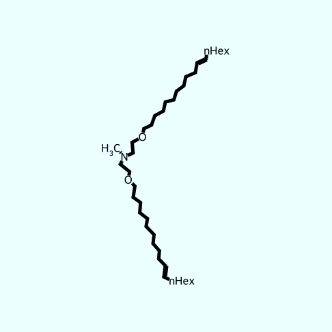 CCCCCCC=CCCCCCCCCCCOCCN(C)CCOCCCCCCCCCCC=CCCCCCC